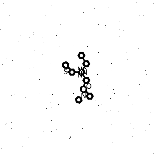 C1=CC2c3cc(-c4nc(-c5cccc(-c6ccccc6)c5)nc(-c5ccc6sc7ccccc7c6c5)n4)ccc3OC2c2c1n(-c1ccccc1)c1ccccc21